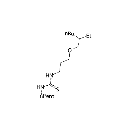 CCCCCNC(=S)NCCCOCC(CC)CCCC